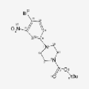 CC(C)(C)OC(=O)N1CCN(c2ccc(Br)c([N+](=O)[O-])c2)CC1